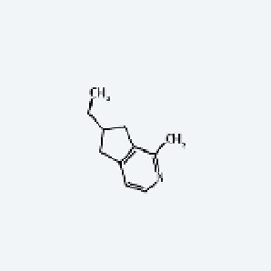 CCC1Cc2ccnc(C)c2C1